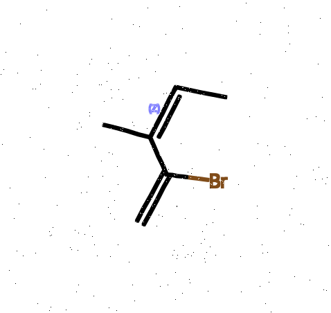 C=C(Br)/C(C)=C\C